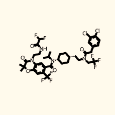 CC(C)N(C(=O)c1cc2c(cc1C(F)(F)F)OC(C)(C)C(=O)N2CCNC(=O)C(F)F)[C@H]1CC[C@@H](CCN(CC(F)(F)F)C(=O)Cc2ccc(Cl)c(Cl)c2)CC1